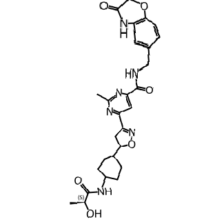 Cc1nc(C(=O)NCc2ccc3c(c2)NC(=O)CO3)cc(C2=NOC(C3CCC(NC(=O)[C@H](C)O)CC3)C2)n1